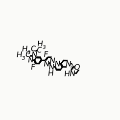 Cc1nc2c(F)cc(-c3nc(Nc4ccc5c(n4)CCN(C[C@H]4CNCCO4)C5)ncc3F)cc2n1C(C)C